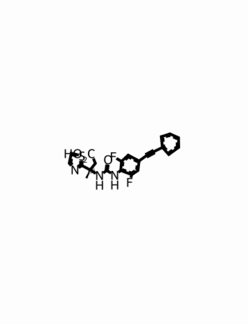 C[C@@](CC(=O)O)(NC(=O)Nc1c(F)cc(C#Cc2ccccc2)cc1F)c1nccs1